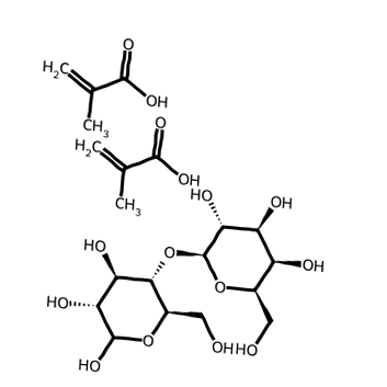 C=C(C)C(=O)O.C=C(C)C(=O)O.OC[C@H]1O[C@@H](O[C@H]2[C@H](O)[C@@H](O)C(O)O[C@@H]2CO)[C@H](O)[C@@H](O)[C@H]1O